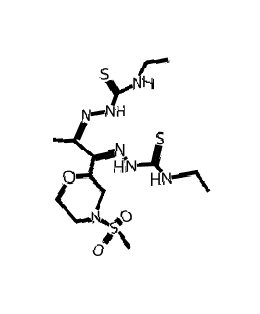 CCNC(=S)N/N=C(C)\C(=N\NC(=S)NCC)C1CN(S(C)(=O)=O)CCO1